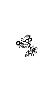 CCC(C)C(C(CC(=O)N1CCCC1C(CC(=O)N(CC)c1ccccc1O)SC(C)(C)C)OC)N(C)C(=O)C(NC(=O)C(C(C)C)N(C)C)C(C)C